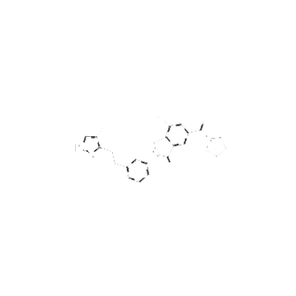 Cc1c[nH]nc1CCc1cccc(N2Cc3c(cc(C(=O)N4CCCC4)cc3C(F)(F)F)C2=O)c1